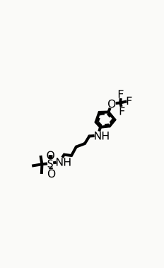 CC(C)(C)S(=O)(=O)NCCCCCNc1ccc(OC(F)(F)F)cc1